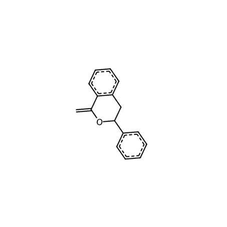 C=C1OC(c2ccccc2)Cc2ccccc21